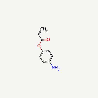 C=CC(=O)Oc1ccc(N)cc1